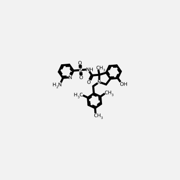 Cc1cc(C)c(CN2Cc3c(O)cccc3C2(C)C(=O)NS(=O)(=O)c2cccc(N)n2)c(C)c1